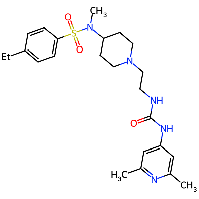 CCc1ccc(S(=O)(=O)N(C)C2CCN(CCNC(=O)Nc3cc(C)nc(C)c3)CC2)cc1